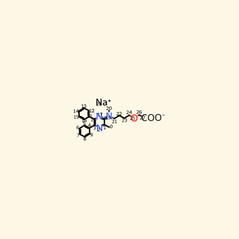 Cc1nc(-c2ccccc2)c(-c2ccccc2)nc1N(C)CCCCOCC(=O)[O-].[Na+]